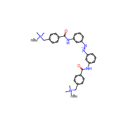 CCCC[N+](C)(C)Cc1ccc(C(=O)Nc2cccc(/N=N/c3cccc(NC(=O)c4ccc(C[N+](C)(C)CCCC)cc4)c3)c2)cc1